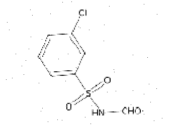 O=[C]NS(=O)(=O)c1cccc(Cl)c1